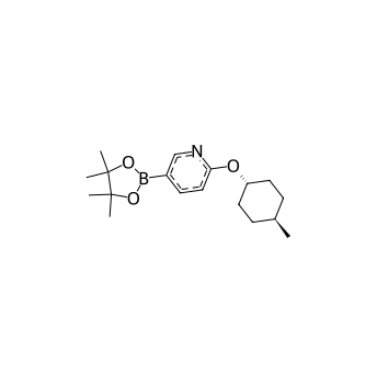 CC1(C)OB(c2ccc(O[C@H]3CC[C@H](C)CC3)nc2)OC1(C)C